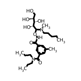 CCCCCN(C)C(ONC(=O)c1cc(C)cc(C(=O)N(CCC)CCC)c1)[C@H](O)[C@@H](O)[C@@H](O)CO